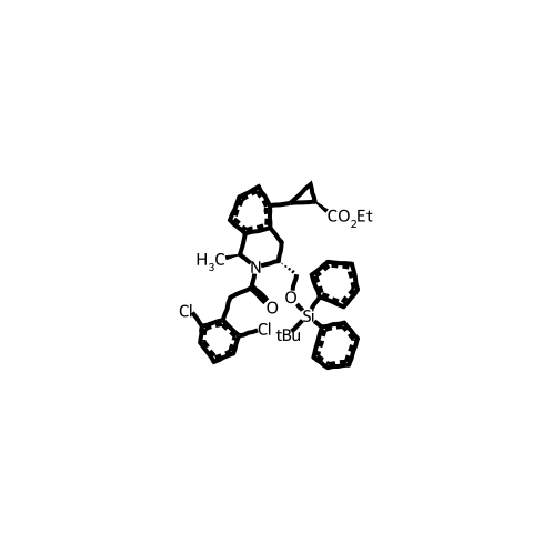 CCOC(=O)[C@@H]1CC1c1cccc2c1C[C@H](CO[Si](c1ccccc1)(c1ccccc1)C(C)(C)C)N(C(=O)Cc1c(Cl)cccc1Cl)[C@H]2C